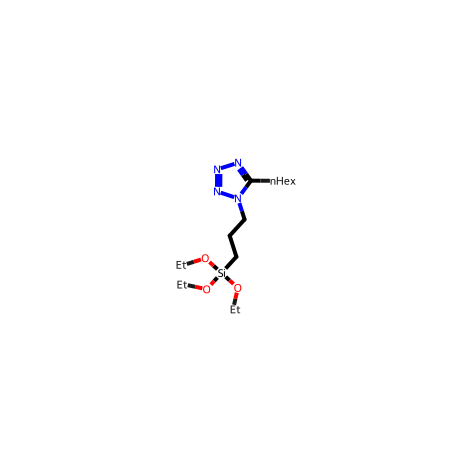 CCCCCCc1nnnn1CCC[Si](OCC)(OCC)OCC